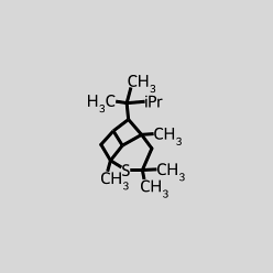 CC(C)C(C)(C)C1C2CC3(C)SC(C)(C)CC1(C)C23